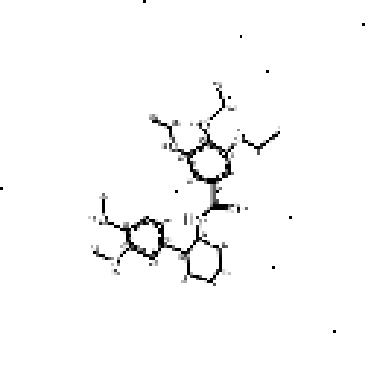 CCOc1cc(C(=O)NC2CCCCC2c2ccc(OC)c(OC)c2)cc(OCC)c1OCC